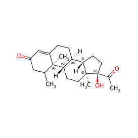 CC(=O)[C@@]1(O)CC[C@H]2[C@@H]3CCC4=CC(=O)CC(C)[C@]4(C)[C@H]3CC[C@@]21C